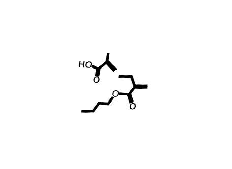 C=C(C)C(=O)O.C=C(CC)C(=O)OCCCC